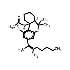 CCCCCC(C)=C(C)c1cc(O)c2c(c1)OC(C)(C)[C@@H]1CCCC[C@@]21NC(C)=O